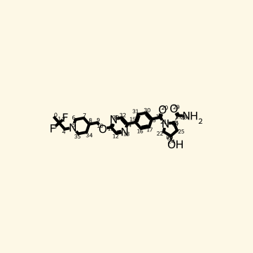 CC(F)(F)CN1CCC(COc2cnc(-c3ccc(C(=O)N4C[C@H](O)C[C@H]4C(N)=O)cc3)cn2)CC1